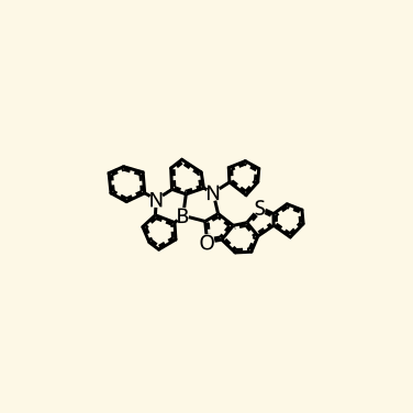 c1ccc(N2c3ccccc3B3c4oc5ccc6c7ccccc7sc6c5c4N(c4ccccc4)c4cccc2c43)cc1